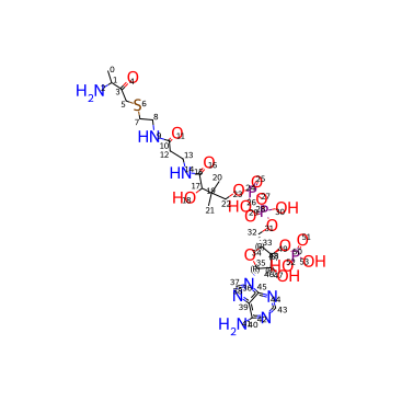 CC(N)C(=O)CSCCNC(=O)CCNC(=O)C(O)C(C)(C)COP(=O)(O)OP(=O)(O)OC[C@H]1O[C@@H](n2cnc3c(N)ncnc32)[C@H](O)[C@@H]1OP(=O)(O)O